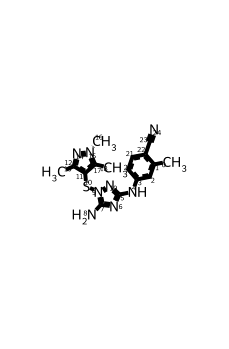 Cc1cc(Nc2nc(N)n(Sc3c(C)nn(C)c3C)n2)ccc1C#N